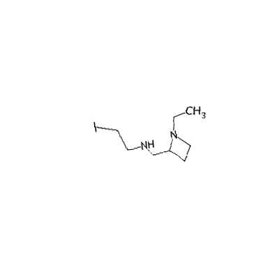 CCN1CCC1CNCCI